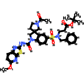 COc1ccc2nc(NC(=O)N3CC4(CCN(C(C)=O)C4)c4cc(S(=O)(=O)N(CCC(=O)OC(C)(C)C)Cc5ccccc5)ccc43)sc2n1